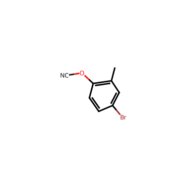 Cc1cc(Br)ccc1OC#N